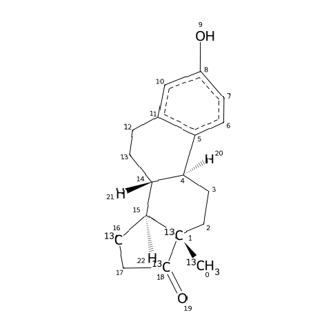 [13CH3][13C@]12CC[C@@H]3c4ccc(O)cc4CC[C@H]3[C@@H]1[13CH2]C[13C]2=O